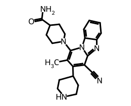 Cc1c(C2CCNCC2)c(C#N)c2nc3ccccc3n2c1N1CCC(C(N)=O)CC1